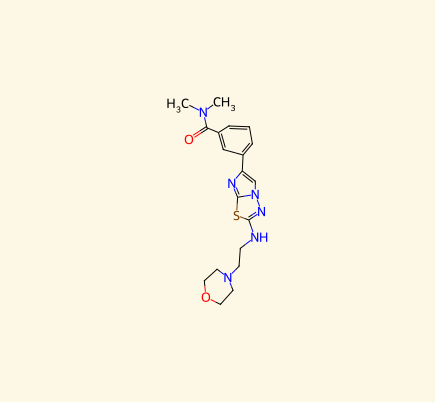 CN(C)C(=O)c1cccc(-c2cn3nc(NCCN4CCOCC4)sc3n2)c1